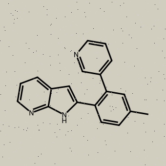 Cc1ccc(-c2cc3cccnc3[nH]2)c(-c2cccnc2)c1